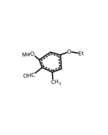 CCOc1cc(C)c(C=O)c(OC)c1